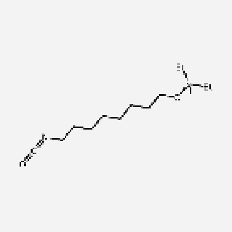 CC[SiH](CC)OCCCCCCCCN=C=O